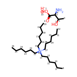 CC(O)C(N)C(=O)O.CCCCCC[N+](CCCCCC)(CCCCCC)CCCCCC.[OH-]